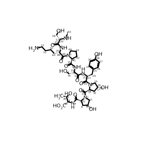 C[C@@H](O)[C@H](NC(=O)[C@@H]1C[C@@H](O)CN1C(=O)[C@@H]1C[C@@H](O)CN1C(=O)[C@H](Cc1ccc(O)cc1)NC(=O)[C@H](CO)NC(=O)[C@@H]1CCCN1C(=O)[C@H](CCCCN)NC(=O)[C@H](CO)NI)C(=O)O